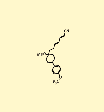 COC1(CCC=CC=CC#N)CCC(c2ccc(OC(F)(F)F)cc2)CC1